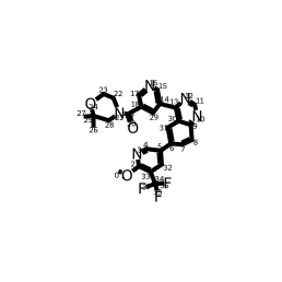 COc1ncc(-c2ccc3ncnc(-c4cncc(C(=O)N5CCOC(C)(C)C5)c4)c3c2)cc1C(F)(F)F